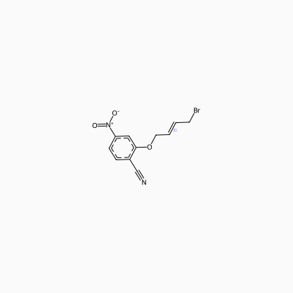 N#Cc1ccc([N+](=O)[O-])cc1OC/C=C/CBr